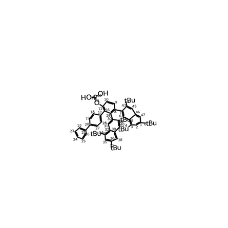 CC(C)(C)c1cc(C(C)(C)C)c2cc(-c3ccc(OP(O)O)c(-c4ccc(-c5ccccc5)cc4)c3-c3cc4c(C(C)(C)C)cc(C(C)(C)C)cc4cc3C(C)(C)C)c(C(C)(C)C)cc2c1